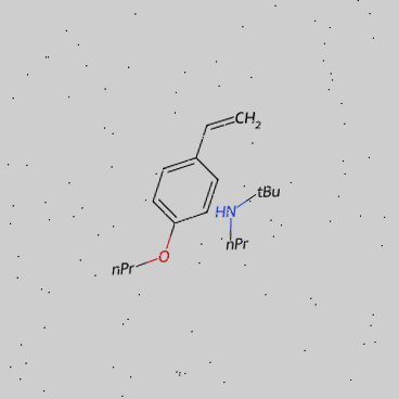 C=Cc1ccc(OCCC)cc1.CCCNC(C)(C)C